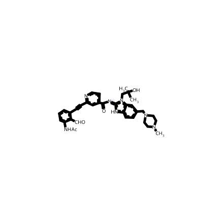 CC(=O)Nc1cccc(C#Cc2cc(C(=O)/N=c3\[nH]c4ccc(CN5CCN(C)CC5)cc4n3CC(C)(C)O)ccn2)c1C=O